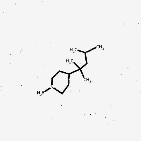 BN1CCC(C(C)(C)CC(C)C)CC1